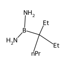 CCCC(CC)(CC)B(N)N